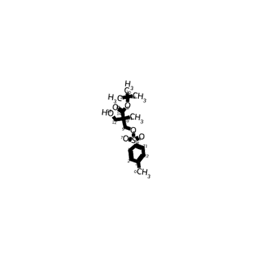 Cc1ccc(S(=O)(=O)OCC(C)(CO)C(=O)OC(C)(C)C)cc1